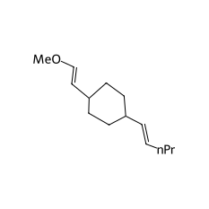 CCCC=CC1CCC(C=COC)CC1